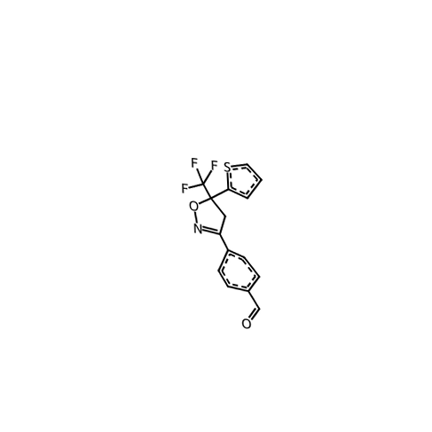 O=Cc1ccc(C2=NOC(c3cccs3)(C(F)(F)F)C2)cc1